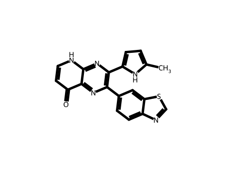 Cc1ccc(-c2nc3[nH]ccc(=O)c3nc2-c2ccc3ncsc3c2)[nH]1